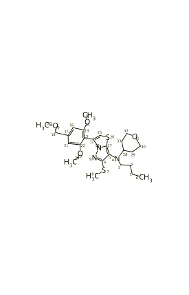 CCCCN(c1c(SC)nn2c(-c3c(OC)cc(COC)cc3OC)csc12)C1CCOCC1